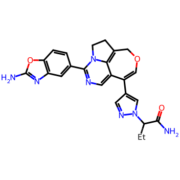 CCC(C(N)=O)n1cc(C2=COCC3=C4C2=CN=C(c2ccc5oc(N)nc5c2)N4CC3)cn1